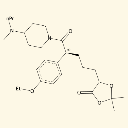 CCCN(C)C1CCN(C(=O)[C@@H](CCCC2OC(C)(C)OC2=O)c2ccc(OCC)cc2)CC1